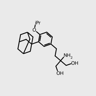 CC(C)Oc1ccc(CCC(N)(CO)CO)cc1C12CC3CC(CC(C3)C1)C2